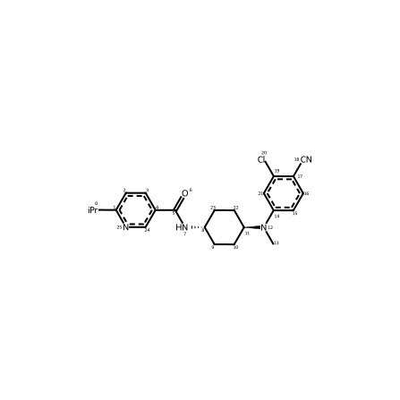 CC(C)c1ccc(C(=O)N[C@H]2CC[C@H](N(C)c3ccc(C#N)c(Cl)c3)CC2)cn1